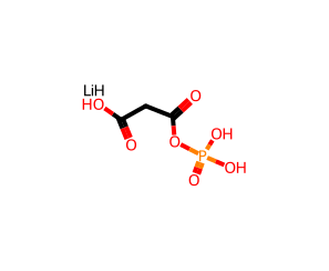 O=C(O)CC(=O)OP(=O)(O)O.[LiH]